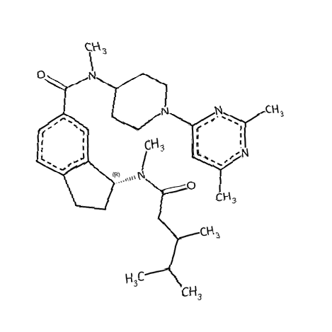 Cc1cc(N2CCC(N(C)C(=O)c3ccc4c(c3)[C@H](N(C)C(=O)CC(C)C(C)C)CC4)CC2)nc(C)n1